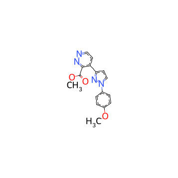 COC(=O)c1nnccc1-c1ccn(-c2ccc(OC)cc2)n1